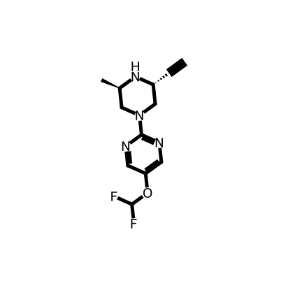 C#C[C@@H]1CN(c2ncc(OC(F)F)cn2)C[C@@H](C)N1